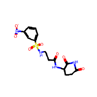 O=C1CCC(NC(=O)CCNS(=O)(=O)c2cccc([N+](=O)[O-])c2)C(=O)N1